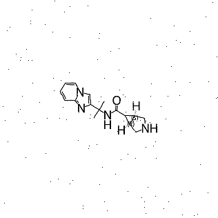 CC(C)(NC(=O)C1[C@H]2CNC[C@@H]12)c1cn2ccccc2n1